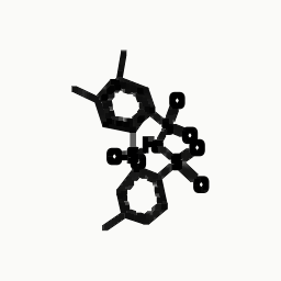 Cc1ccc([S](=O)(=O)[Fe]([S](=O)(=O)c2ccc(C)cc2)[S](=O)(=O)c2ccc(C)cc2)cc1